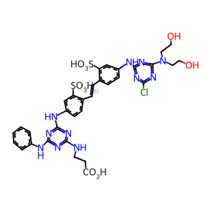 O=C(O)CCNc1nc(Nc2ccccc2)nc(Nc2ccc(/C=C/c3ccc(Nc4nc(Cl)nc(N(CCO)CCO)n4)cc3S(=O)(=O)O)c(S(=O)(=O)O)c2)n1